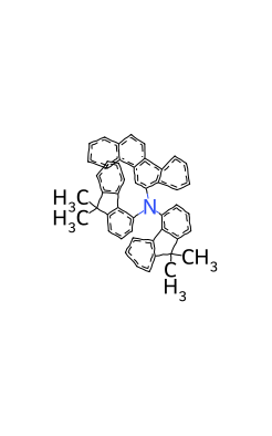 CC1(C)c2ccccc2-c2c(N(c3cccc4c3-c3ccccc3C4(C)C)c3cc4c5ccccc5ccc4c4ccccc34)cccc21